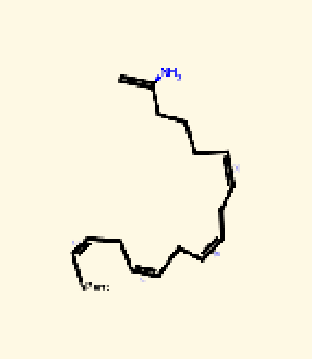 C=C(N)CCC/C=C\C/C=C\C/C=C\C/C=C\CCCCC